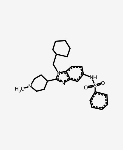 CN1CCC(c2nc3cc(NS(=O)(=O)c4ccccc4)ccc3n2CC2CCCCC2)CC1